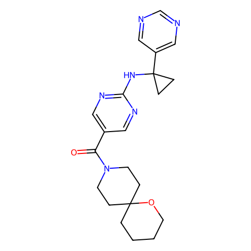 O=C(c1cnc(NC2(c3cncnc3)CC2)nc1)N1CCC2(CCCCO2)CC1